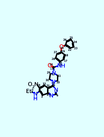 CCNc1cc2ncnc(N3CCN(C(=O)Nc4ccc(Oc5ccccc5)cc4)CC3)c2cc1[N+](=O)[O-]